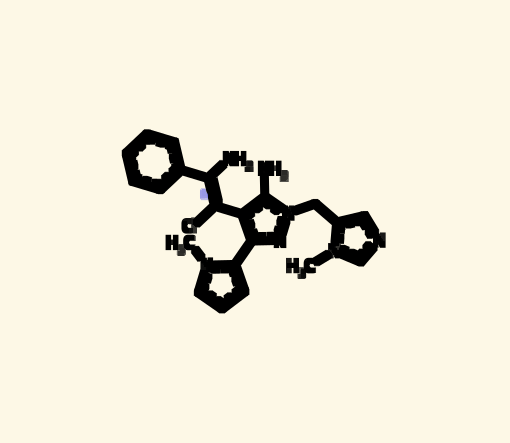 Cn1cncc1Cn1nc(-c2cccn2C)c(/C(Cl)=C(\N)c2ccccc2)c1N